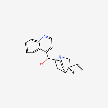 C=C[C@H]1CN2CCC1C=C2C(O)c1ccnc2ccccc12